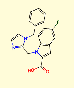 O=C(O)c1cc2cc(F)ccc2n1Cc1nccn1Cc1ccccc1